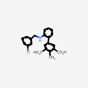 Cc1c(C(=O)O)cc(-c2ccccc2NCc2cccc(Cl)c2)cc1C(=O)O